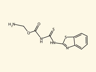 NCOC(=O)NC(=S)Nc1nc2ccccc2s1